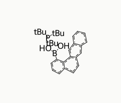 CC(C)(C)P(C(C)(C)C)C(C)(C)C.OB(O)c1cccc2ccc3cc4ccccc4cc3c12